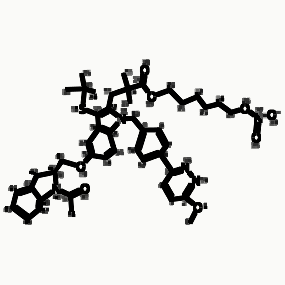 COc1ccc(-c2ccc(Cn3c(CC(C)(C)C(=O)OCCCCCCO[N+](=O)[O-])c(SC(C)(C)C)c4cc(OC[C@@H]5Cc6ccccc6N5C(C)=O)ccc43)cc2)nn1